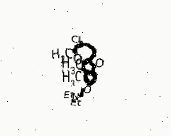 C=C1/C=C(Cl)\C=C/CC2=C(O1)C(C)(C)c1cc(OCCN(CC)CC)ccc1C2=O